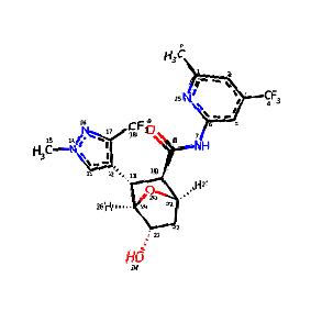 Cc1cc(C(F)(F)F)cc(NC(=O)[C@@H]2[C@@H](c3cn(C)nc3C(F)(F)F)[C@H]3O[C@@H]2C[C@@H]3O)n1